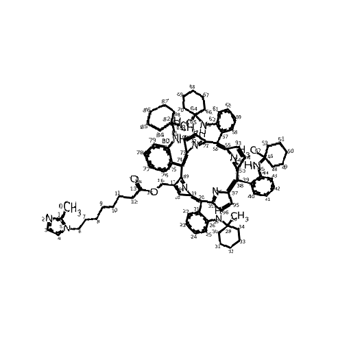 Cc1nccn1CCCCCCCC(=O)OCC1=CC2=C(c3ccccc3NC3(C)CCCCC3)C3=NC(=C(c4ccccc4NC4(C)CCCCC4)C4=NC(=C(c5ccccc5NC5(C)CCCCC5)C5=NC(=C(c6ccccc6NC6(C)CCCCC6)C1=N2)C=C5)C=C4)C=C3